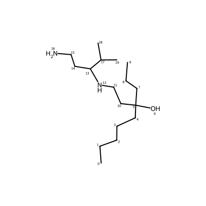 CCCCCC(O)(CCC)CCNC(CCN)C(C)C